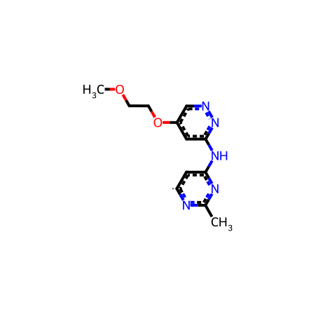 COCCOc1cnnc(Nc2c[c]nc(C)n2)c1